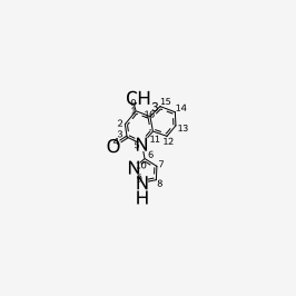 Cc1cc(=O)n(-c2cc[nH]n2)c2ccccc12